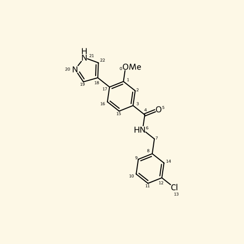 COc1cc(C(=O)NCc2cccc(Cl)c2)ccc1-c1cn[nH]c1